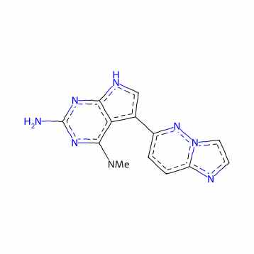 CNc1nc(N)nc2[nH]cc(-c3ccc4nccn4n3)c12